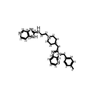 Cc1ccc(Cn2c(CC3CCN(CCNc4nc5cnccc5[nH]4)CC3)nc3cccnc32)cc1